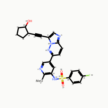 COc1ncc(-c2ccc3ncc(C#CC4CCCC4O)n3n2)cc1NS(=O)(=O)c1ccc(F)cc1